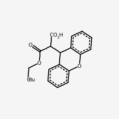 CC(C)(C)COC(=O)C(C(=O)O)C1c2ccccc2Oc2ccccc21